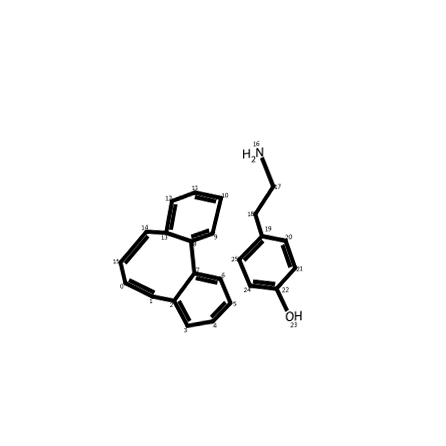 C1=Cc2ccccc2-c2ccccc2C=C1.NCCc1ccc(O)cc1